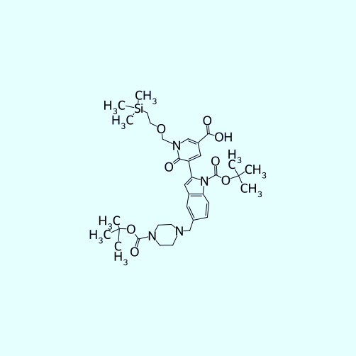 CC(C)(C)OC(=O)N1CCN(Cc2ccc3c(c2)cc(-c2cc(C(=O)O)cn(COCC[Si](C)(C)C)c2=O)n3C(=O)OC(C)(C)C)CC1